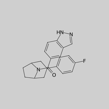 O=C(c1ccc2[nH]ncc2c1)N1C2CCC1CC(c1ccc(F)cc1)C2